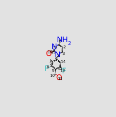 Nc1ccn(-c2cc(F)c(C=O)c(F)c2)c(=O)n1